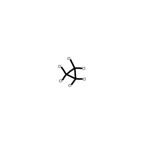 ClC1(Cl)C(Cl)(Cl)C1(Cl)Cl